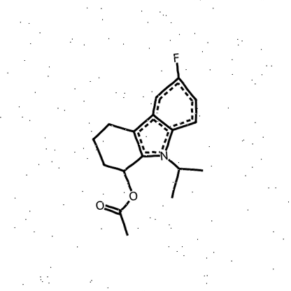 CC(=O)OC1CCCc2c1n(C(C)C)c1ccc(F)cc21